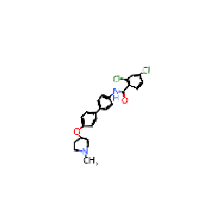 CN1CCC(Oc2ccc(-c3ccc(NC(=O)c4ccc(Cl)cc4Cl)cc3)cc2)CC1